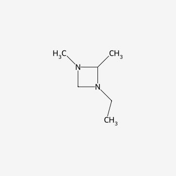 CCN1CN(C)C1C